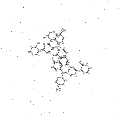 [C-]#[N+]c1ccc(N(C2=C3C=CC4=C5C(=CC=C(C=C2)C35)C(N(c2ccc(C#N)cc2)c2ccc(-c3ccccc3C)cc2-c2ccccc2C)C=C4)c2ccc(-c3ccccc3C)cc2-c2ccccc2C)cc1